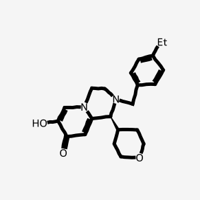 CCc1ccc(CN2CCn3cc(O)c(=O)cc3[C@@H]2C2CCOCC2)cc1